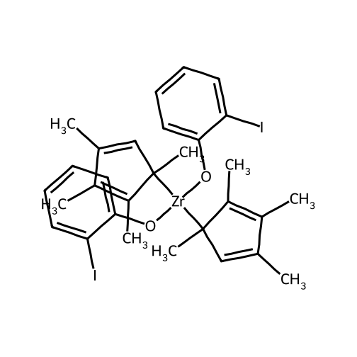 CC1=C[C](C)([Zr]([O]c2ccccc2I)([O]c2ccccc2I)[C]2(C)C=C(C)C(C)=C2C)C(C)=C1C